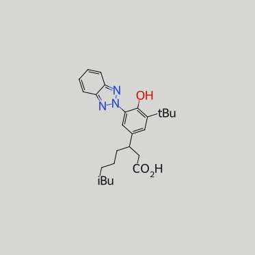 CCC(C)CCCC(CC(=O)O)c1cc(-n2nc3ccccc3n2)c(O)c(C(C)(C)C)c1